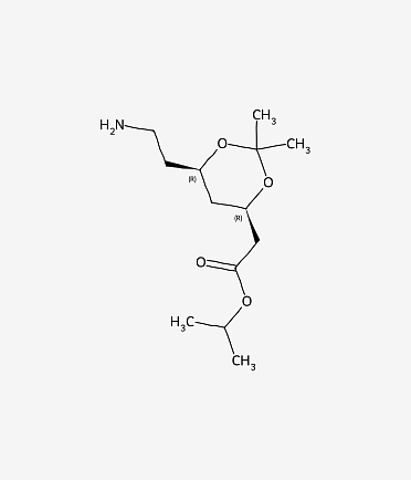 CC(C)OC(=O)C[C@H]1C[C@@H](CCN)OC(C)(C)O1